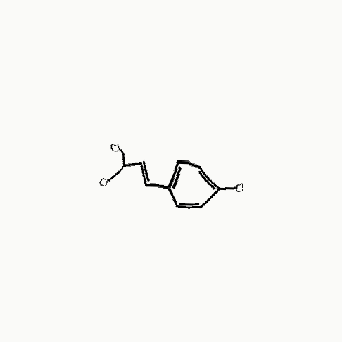 Clc1ccc(C=CC(Cl)Cl)cc1